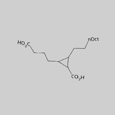 CCCCCCCCCCC1C(CCCC(=O)O)C1C(=O)O